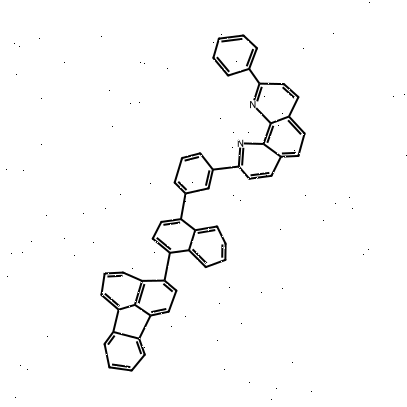 c1ccc(-c2ccc3ccc4ccc(-c5cccc(-c6ccc(-c7ccc8c9c(cccc79)-c7ccccc7-8)c7ccccc67)c5)nc4c3n2)cc1